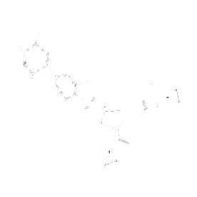 Cc1cc(-c2ccc(S(=O)(=O)[C@@H]3C[C@H](OC(=O)NC4(C#N)CC4)N(C(=O)C4(C(F)(F)F)CC4)C3)c(C(F)(F)F)c2)ccn1